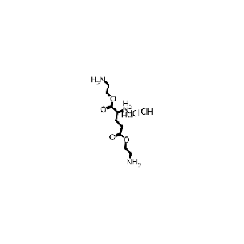 Cl.Cl.Cl.NCCOC(=O)CCC(N)C(=O)OCCN